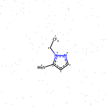 CSc1[c]cnn1CC(F)(F)F